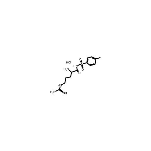 Cc1ccc(S(=O)(=O)NC(=O)C(N)CCCNC(=N)N)cc1.Cl